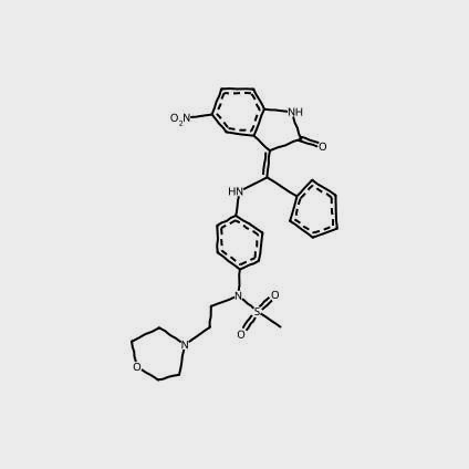 CS(=O)(=O)N(CCN1CCOCC1)c1ccc(NC(=C2C(=O)Nc3ccc([N+](=O)[O-])cc32)c2ccccc2)cc1